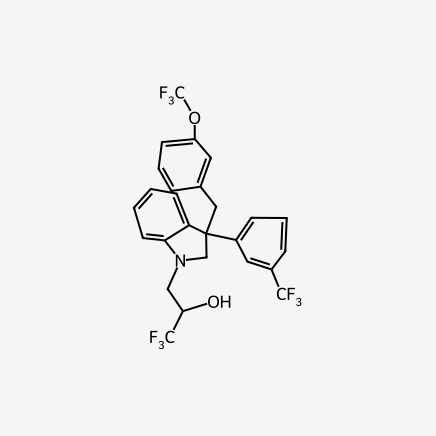 OC(CN1CC(Cc2cccc(OC(F)(F)F)c2)(c2cccc(C(F)(F)F)c2)c2ccccc21)C(F)(F)F